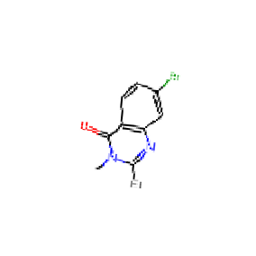 CCc1nc2cc(Br)ccc2c(=O)n1C